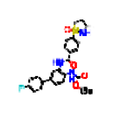 CC1CC[SH](=O)(c2ccc(C(=O)Nc3cc(-c4ccc(F)cc4)ccc3NC(=O)OC(C)(C)C)cc2)N1